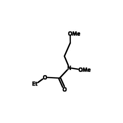 CCOC(=O)N(CCOC)OC